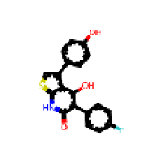 O=c1[nH]c2scc(-c3ccc(O)cc3)c2c(O)c1-c1ccc(F)cc1